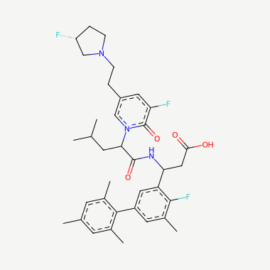 Cc1cc(C)c(-c2cc(C)c(F)c(C(CC(=O)O)NC(=O)C(CC(C)C)n3cc(CCN4CC[C@@H](F)C4)cc(F)c3=O)c2)c(C)c1